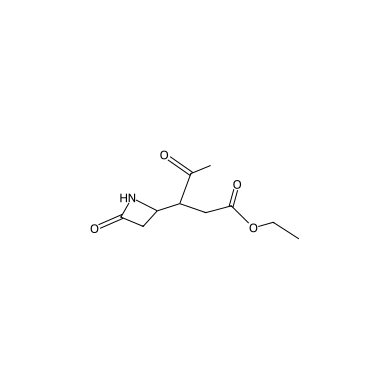 CCOC(=O)CC(C(C)=O)C1CC(=O)N1